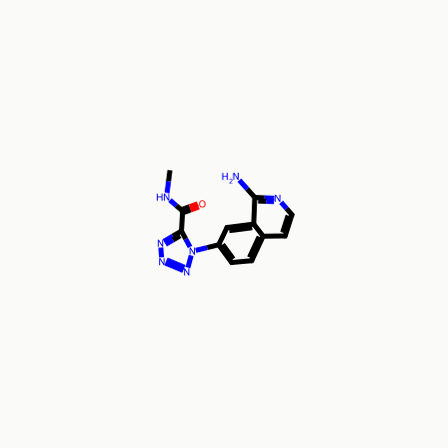 CNC(=O)c1nnnn1-c1ccc2ccnc(N)c2c1